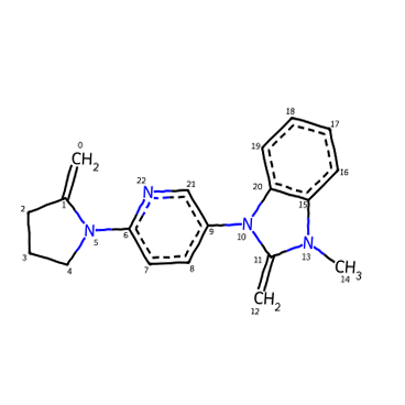 C=C1CCCN1c1ccc(N2C(=C)N(C)c3ccccc32)cn1